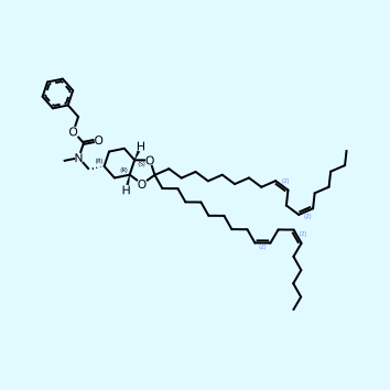 CCCCC/C=C\C/C=C\CCCCCCCCC1(CCCCCCCC/C=C\C/C=C\CCCCC)O[C@H]2CC[C@@H](CN(C)C(=O)OCc3ccccc3)C[C@H]2O1